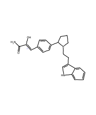 NC(=O)/C(O)=C/c1ccc(C2CCCN2CCc2c[nH]c3ccccc23)cc1